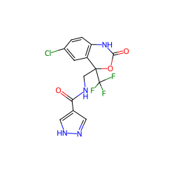 O=C1Nc2ccc(Cl)cc2C(CNC(=O)c2cn[nH]c2)(C(F)(F)F)O1